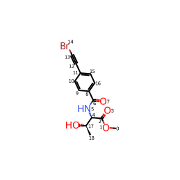 COC(=O)[C@H](NC(=O)c1ccc(C#CBr)cc1)[C@@H](C)O